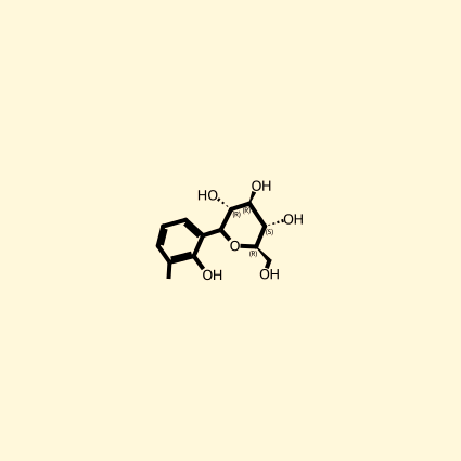 Cc1cccc(C2O[C@H](CO)[C@@H](O)[C@H](O)[C@H]2O)c1O